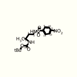 CC(CCNS(=O)(=O)c1ccc([N+](=O)[O-])cc1)NC(=O)OC(C)(C)C